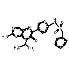 CC(C)n1c(=O)c(-c2ccc(NS(=O)(=O)Cc3ccccc3)nc2)nc2cnc(N)nc21